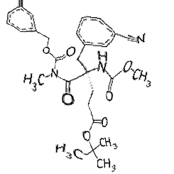 COC(=O)N[C@](CCC(=O)OC(C)(C)C)(Cc1cccc(C#N)c1)C(=O)N(C)C(=O)OCc1ccccc1